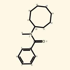 CN(C(=O)c1ccccc1)C1CCCCCCC1